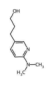 CN(C)c1ccc(CCCO)cn1